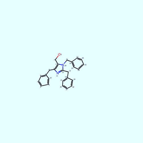 [O]Cc1c(Cc2ccccc2)nc(Cc2ccccc2)n1Cc1ccccc1